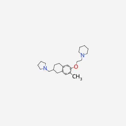 Cc1cc2c(cc1OCCN1CCCCC1)CCC(CN1CCCC1)C2